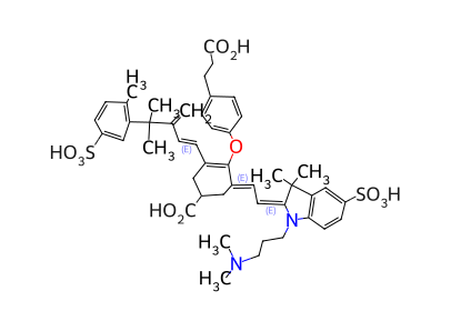 C=C(/C=C/C1=C(Oc2ccc(CCC(=O)O)cc2)C(=C/C=C2/N(CCCN(C)C)c3ccc(S(=O)(=O)O)cc3C2(C)C)/CC(C(=O)O)C1)C(C)(C)c1cc(S(=O)(=O)O)ccc1C